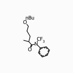 [CH2]CCCOCCCC(C)C(=O)N(c1ccccc1)C(F)(F)F